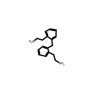 NCCc1ccccc1Cc1ccccc1CCN